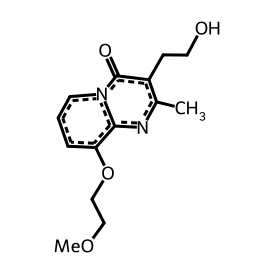 COCCOc1cccn2c(=O)c(CCO)c(C)nc12